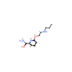 CCCNCCOc1cccc(C(N)=O)n1